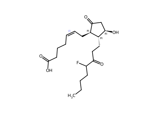 CCCCC(F)C(=O)CC[C@H]1[C@H](O)CC(=O)[C@@H]1C/C=C\CCCC(=O)O